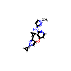 Cn1ccc(Nc2cc(Oc3cn(C4CC4)nc3C3CC3)ccn2)n1